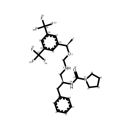 C[C@@H](OCNC[C@H](Cc1ccccc1)NC(=O)N1CCCC1)c1cc(C(F)(F)F)cc(C(F)(F)F)c1